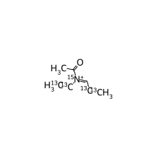 CC(=O)/[15N+](=C/[13CH2][13CH3])[13CH2][13CH3]